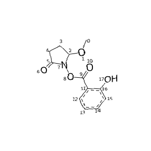 COC1CCC(=O)N1OC(=O)c1ccccc1O